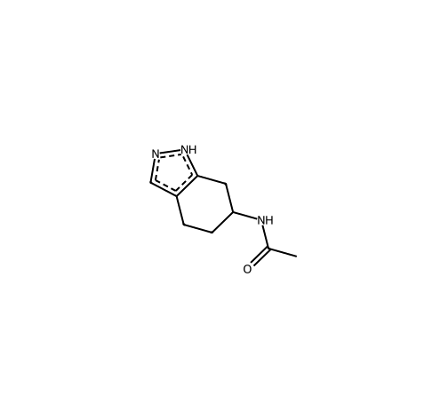 CC(=O)NC1CCc2cn[nH]c2C1